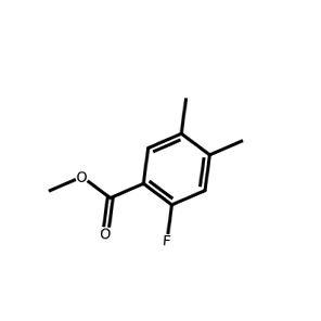 COC(=O)c1cc(C)c(C)cc1F